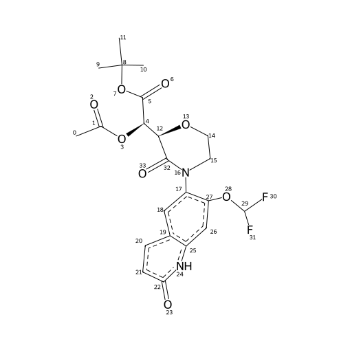 CC(=O)O[C@@H](C(=O)OC(C)(C)C)[C@H]1OCCN(c2cc3ccc(=O)[nH]c3cc2OC(F)F)C1=O